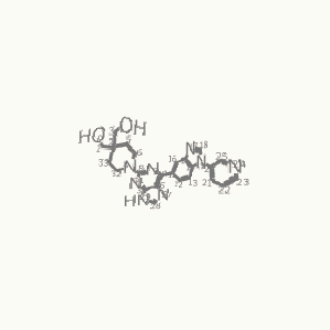 OCC1(CO)CCN(c2nc(-c3ccc4c(c3)ncn4-c3cccnc3)c3nc[nH]c3n2)CC1